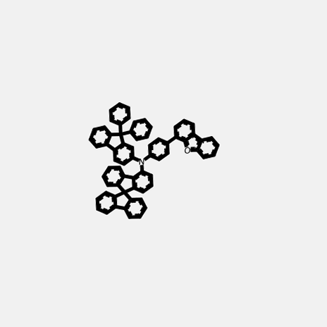 c1ccc(C2(c3ccccc3)c3ccccc3-c3ccc(N(c4ccc(-c5cccc6c5oc5ccccc56)cc4)c4cccc5c4-c4ccccc4C54c5ccccc5-c5ccccc54)cc32)cc1